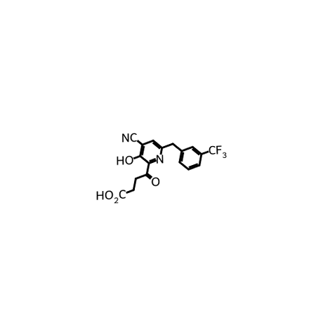 N#Cc1cc(Cc2cccc(C(F)(F)F)c2)nc(C(=O)CCC(=O)O)c1O